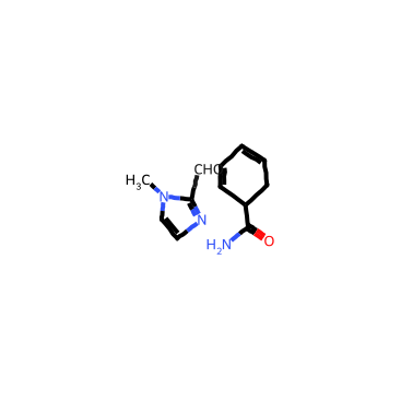 Cn1ccnc1C=O.NC(=O)C1C=CC=CC1